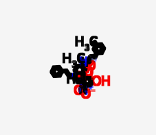 Cc1cccc(/C=C/C(=O)N(C)C2CC[C@@]3(O)[C@H]4Cc5c([N+](=O)[O-])cc(O)c6c5[C@@]3(CCN4CCc3ccccc3)C2O6)c1